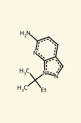 CCC(C)(C)n1ncc2ccc(N)nc21